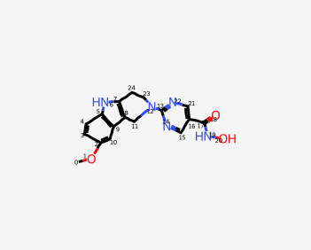 COc1ccc2[nH]c3c(c2c1)CN(c1ncc(C(=O)NO)cn1)CC3